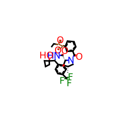 CCS(=O)(=O)c1cccc(C(=O)N2C[C@H](C)C[C@@H]2C(=O)N[C@@H](c2ccc(C(F)(F)F)cc2)C2(O)CCC2)c1